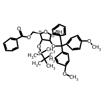 B[C@@H]1O[C@H](COC(=O)c2ccccc2)C(O[Si](C)(C)C(C)(C)C)C1OC(c1ccccc1)(c1ccc(OC)cc1)c1ccc(OC)cc1